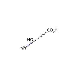 CCC/C=C/C=C/C(O)CCCCCCCCCC(=O)O